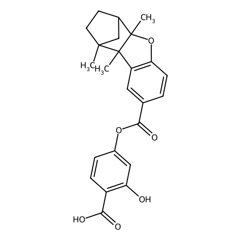 CC12CCC(C1)C1(C)Oc3ccc(C(=O)Oc4ccc(C(=O)O)c(O)c4)cc3C21C